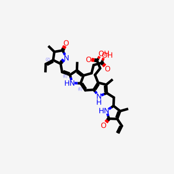 C=CC1=C(C)C(Cc2[nH]c(/C=c3/[nH]/c(=C/C4=NC(=O)C(C)/C4=C/C)c(C)c3CCC(=O)O)c(CCC(=O)O)c2C)NC1=O